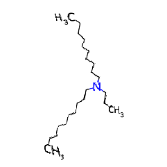 CCCCCCCCCCN(CCC)CCCCCCCCCC